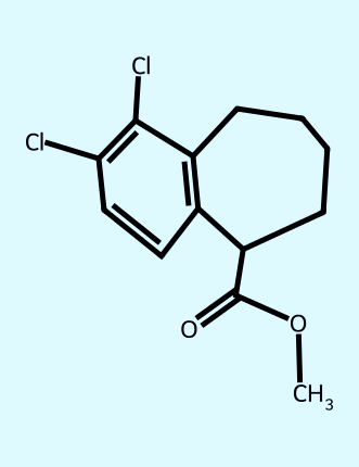 COC(=O)C1CCCCc2c1ccc(Cl)c2Cl